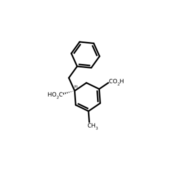 CC1=C[C@](Cc2ccccc2)(C(=O)O)CC(C(=O)O)=C1